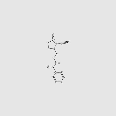 N#CC1C(=O)CCC1CCOC(=O)c1ccccc1